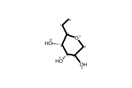 CCC1OCC(O)[C@H](O)[C@@H]1O